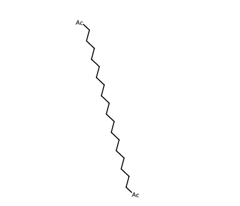 CC(=O)CCCCCCCCCCCCCCCCCCC(C)=O